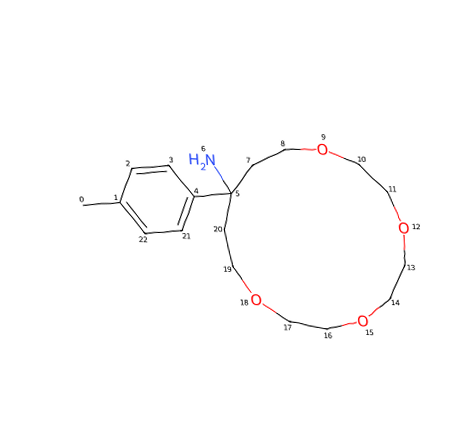 Cc1ccc(C2(N)CCOCCOCCOCCOCC2)cc1